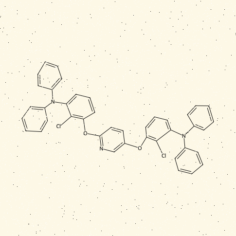 Clc1c(Oc2ccc(Oc3cccc(N(c4ccccc4)c4ccccc4)c3Cl)nc2)cccc1N(c1ccccc1)c1ccccc1